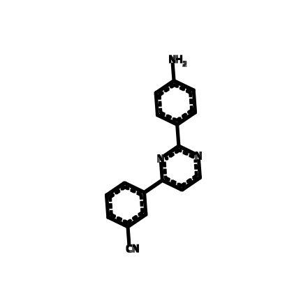 N#Cc1cccc(-c2ccnc(-c3ccc(N)cc3)n2)c1